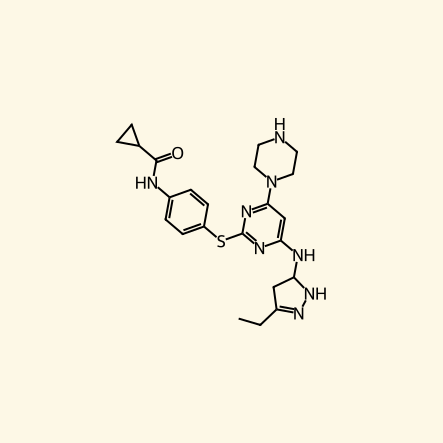 CCC1=NNC(Nc2cc(N3CCNCC3)nc(Sc3ccc(NC(=O)C4CC4)cc3)n2)C1